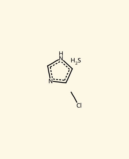 CCl.S.c1c[nH]cn1